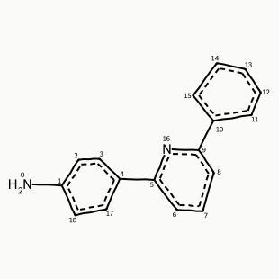 Nc1ccc(-c2cccc(-c3ccccc3)n2)cc1